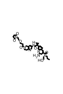 CCCN(CCO)C(=O)C1=Cc2ccc(C3(C(=O)Nc4cnc5c(c4)CN(C(=O)CCOCCN4C(=O)C=CC4=O)CC5)CC3)cc2N=C(N)C1